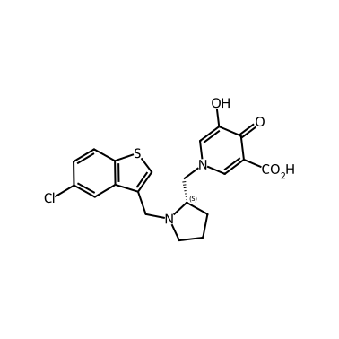 O=C(O)c1cn(C[C@@H]2CCCN2Cc2csc3ccc(Cl)cc23)cc(O)c1=O